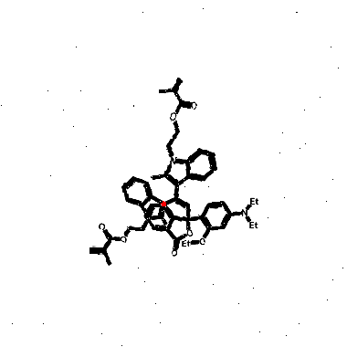 C=C(C)C(=O)OCCn1c(C)c(C(=CC2(c3ccc(N(CC)CC)cc3OCC)OC(=O)c3ccccc32)c2c(C)n(CCOC(=O)C(=C)C)c3ccccc23)c2ccccc21